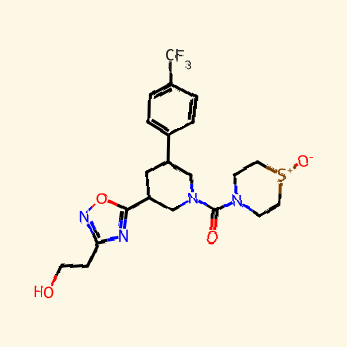 O=C(N1CC[S+]([O-])CC1)N1CC(c2ccc(C(F)(F)F)cc2)CC(c2nc(CCO)no2)C1